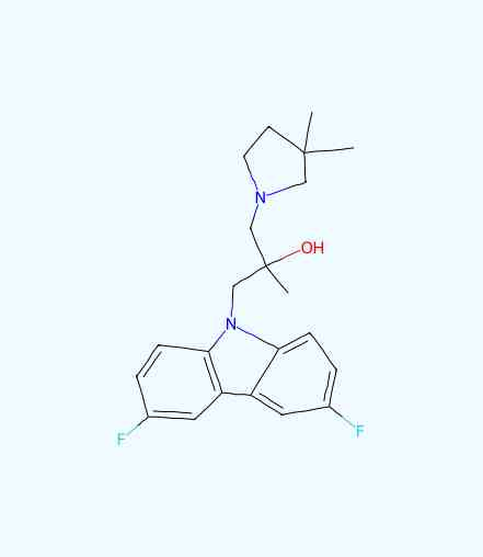 CC1(C)CCN(CC(C)(O)Cn2c3ccc(F)cc3c3cc(F)ccc32)C1